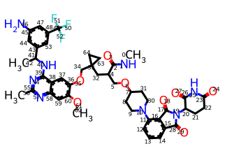 CNC(=O)C(COC1CCN(c2cccc3c2C(=O)N(C2CCC(=O)NC2=O)C3=O)CC1)CC1(COc2cc3c(NC(C)c4cc(N)cc(C(F)(F)F)c4)nc(C)nc3cc2OC)CC1